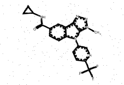 Cn1nnc2c3cc(C(=O)NC4CC4)ccc3n(-c3ccc(C(F)(F)F)nc3)c21